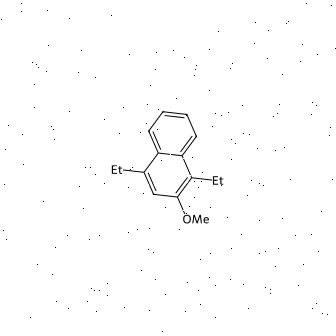 CCc1cc(OC)c(CC)c2ccccc12